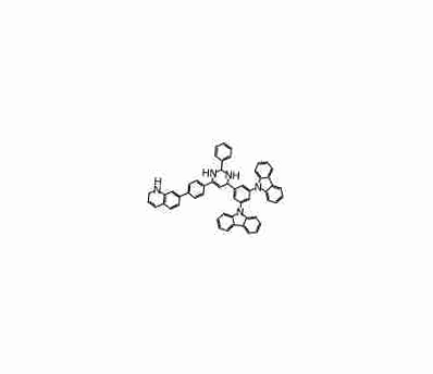 C1=Cc2ccc(-c3ccc(C4=CC(c5cc(-n6c7ccccc7c7ccccc76)cc(-n6c7ccccc7c7ccccc76)c5)NC(c5ccccc5)N4)cc3)cc2NC1